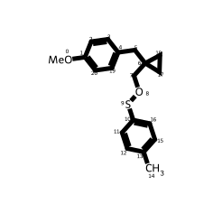 COc1ccc(CC2(COSc3ccc(C)cc3)CC2)cc1